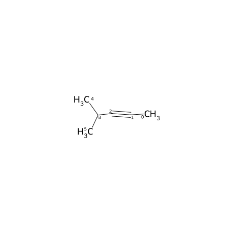 CC#C[C](C)C